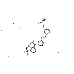 Cc1cnc2c(C(F)(F)F)cccc2c1-c1cccc(OCc2cccc(CCC(=O)O)c2)c1